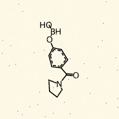 O=C(c1ccc(OBO)cc1)N1CCCC1